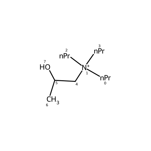 CCC[N+](CCC)(CCC)CC(C)O